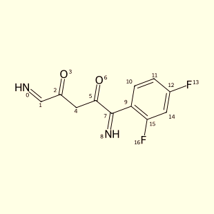 N=CC(=O)CC(=O)C(=N)c1ccc(F)cc1F